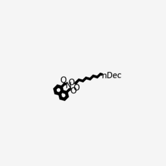 CCCCCCCCCCCCCCCCCC(=O)ON1C(=O)c2cccc3cccc(c23)C1=O